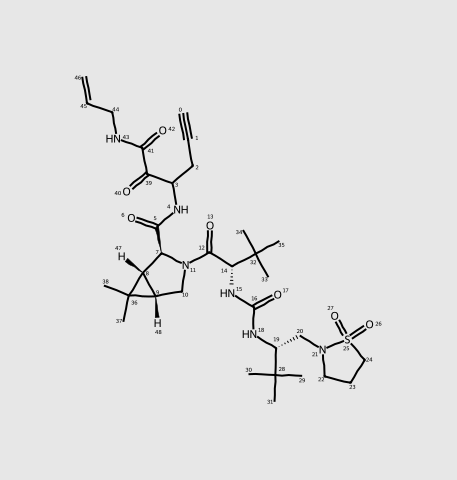 C#CCC(NC(=O)[C@@H]1[C@@H]2[C@H](CN1C(=O)[C@@H](NC(=O)N[C@H](CN1CCCS1(=O)=O)C(C)(C)C)C(C)(C)C)C2(C)C)C(=O)C(=O)NCC=C